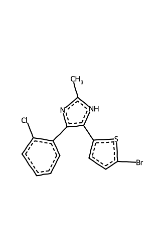 Cc1nc(-c2ccccc2Cl)c(-c2ccc(Br)s2)[nH]1